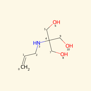 C=CCNC(CO)(CO)CO